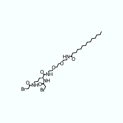 CCCCCCCCCCCCCC(=O)NCCOCCOCCNC(=O)[C@H](CCCNC(=O)CBr)NC(=O)CBr